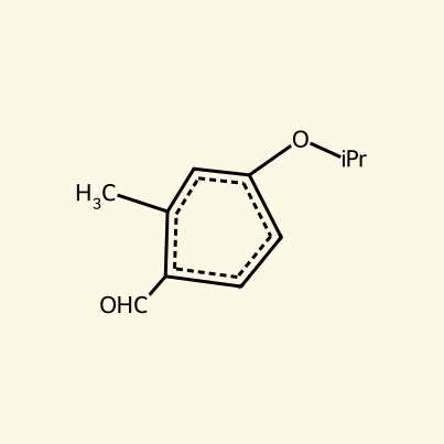 Cc1cc(OC(C)C)ccc1C=O